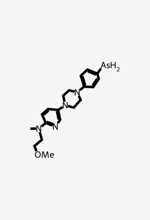 COCCN(C)c1ccc(N2CCN(c3ccc([AsH2])cc3)CC2)cn1